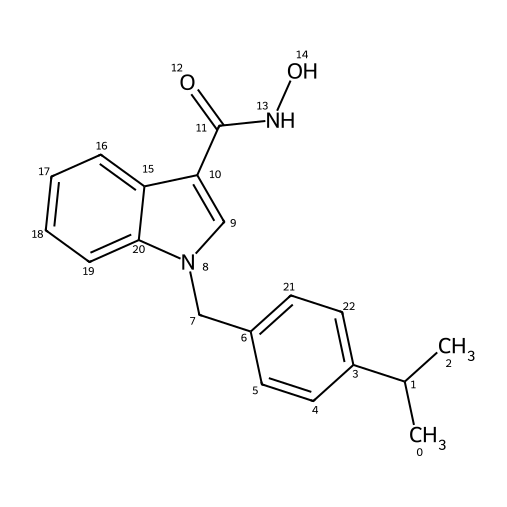 CC(C)c1ccc(Cn2cc(C(=O)NO)c3ccccc32)cc1